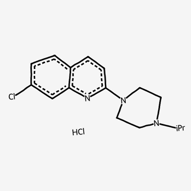 CC(C)N1CCN(c2ccc3ccc(Cl)cc3n2)CC1.Cl